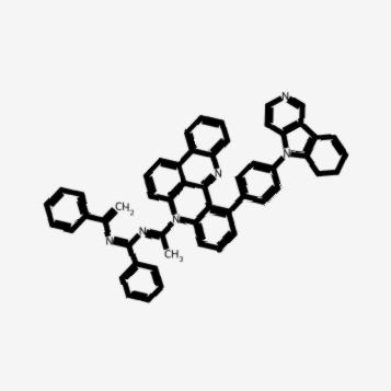 C=C(/N=C(\N=C(/C)N1c2cccc(-c3ccc(-n4c5c(c6cnccc64)C=CCC5)cc3)c2-c2nc3ccccc3c3cccc1c23)c1ccccc1)c1ccccc1